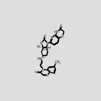 Cc1ccc2ncc(=O)n(CCN[C@H]3CC[C@H]4[C@@H](C3)OC(=O)N4c3ccc4c(n3)NC(=O)CO4)c2c1